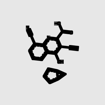 C#Cc1c(C(=O)O)nc2c(C#N)cccc2c1O.c1cc2cc-2c1